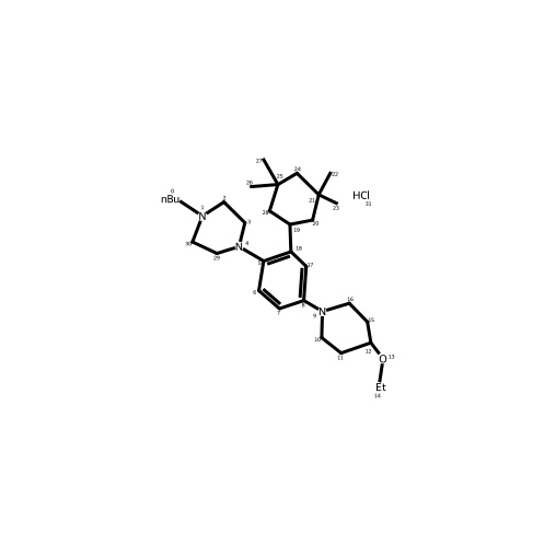 CCCCN1CCN(c2ccc(N3CCC(OCC)CC3)cc2C2CC(C)(C)CC(C)(C)C2)CC1.Cl